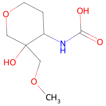 COCC1(O)COCCC1NC(=O)O